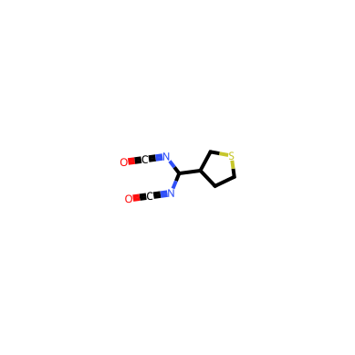 O=C=NC(N=C=O)C1CCSC1